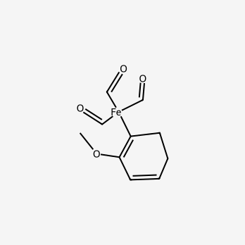 COC1=[C]([Fe]([CH]=O)([CH]=O)[CH]=O)CCC=C1